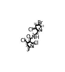 Cc1cc(Cl)c(C(=O)NCCc2ncc(Br)cc2Cl)c(Cl)n1